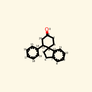 O=C1CCC2(CCc3ccccc32)C(c2ccccc2)C1